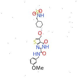 COc1cccc(CNC(=O)c2nc3scc(COC[C@H]4CC[C@H](CNS(C)(=O)=O)CC4)c3c(=O)[nH]2)c1